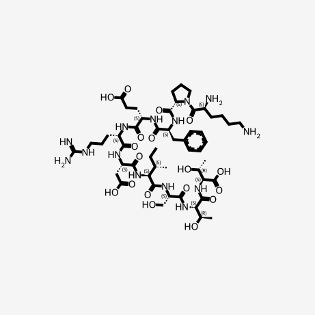 CC[C@H](C)[C@H](NC(=O)[C@H](CC(=O)O)NC(=O)[C@H](CCCNC(=N)N)NC(=O)[C@H](CCC(=O)O)NC(=O)[C@H](Cc1ccccc1)NC(=O)[C@@H]1CCCN1C(=O)[C@@H](N)CCCCN)C(=O)N[C@@H](CO)C(=O)N[C@H](C(=O)N[C@H](C(=O)O)[C@@H](C)O)[C@@H](C)O